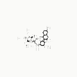 COc1ccc2cc(Br)ccc2c1CN1C(=O)C(NC(=O)[C@H](C)N(C)C(=O)OC(C)(C)C)CNc2cc(C#N)ccc21